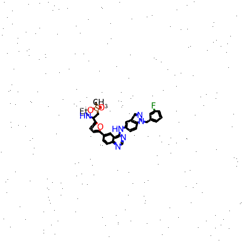 CCNC(CS(C)(=O)=O)c1ccc(-c2ccc3ncnc(Nc4ccc5c(cnn5Cc5cccc(F)c5)c4)c3c2)o1